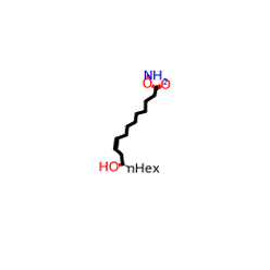 CCCCCC[C@H](O)C/C=C\CCCCCCCC(=O)ON